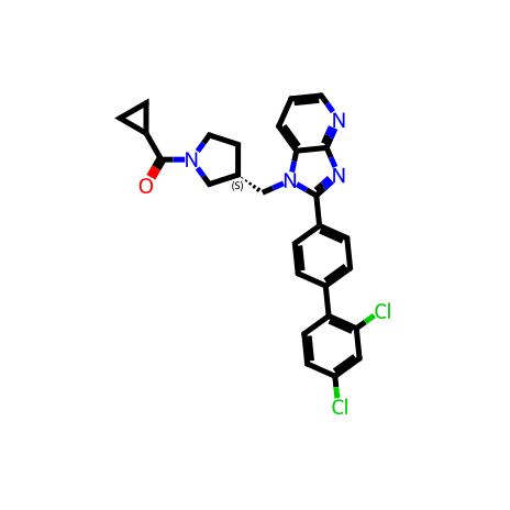 O=C(C1CC1)N1CC[C@H](Cn2c(-c3ccc(-c4ccc(Cl)cc4Cl)cc3)nc3ncccc32)C1